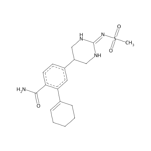 CS(=O)(=O)N=C1NCC(c2ccc(C(N)=O)c(C3=CCCCC3)c2)CN1